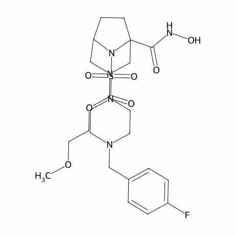 COCCOC(=O)N1CC2CCC(C(=O)NO)(C1)N2S(=O)(=O)N1CCN(Cc2ccc(F)cc2)CC1